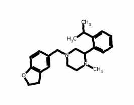 CC(C)c1ccccc1C1CN(Cc2ccc3c(c2)CCO3)CCN1C